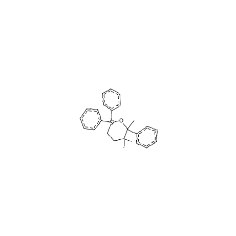 CC1(C)CC[Si](c2ccccc2)(c2ccccc2)OC1(C)c1ccccc1